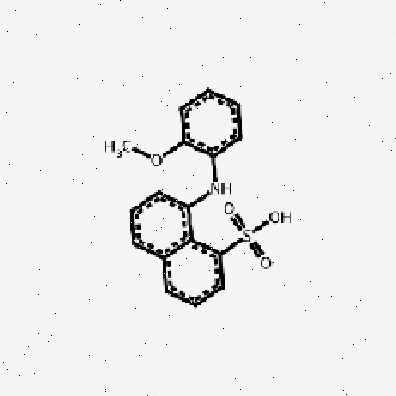 COc1ccccc1Nc1cccc2cccc(S(=O)(=O)O)c12